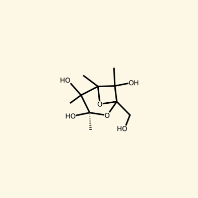 CC1(O)C2(CO)OC1(C)C(C)(O)[C@](C)(O)O2